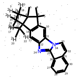 [2H]C([2H])([2H])C1(C)C(C)(C)c2cc3c(cc2C1(C([2H])([2H])[2H])C([2H])([2H])[2H])nc1c2ccccc2ccn31